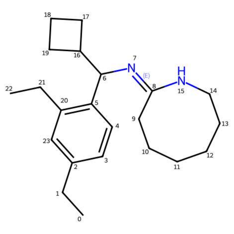 CCc1ccc(C(/N=C2\CCCCCCN2)C2CCC2)c(CC)c1